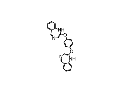 C1=NC=C(Oc2ccc(OC3=CN=Cc4ccccc4N3)cc2)Nc2ccccc21